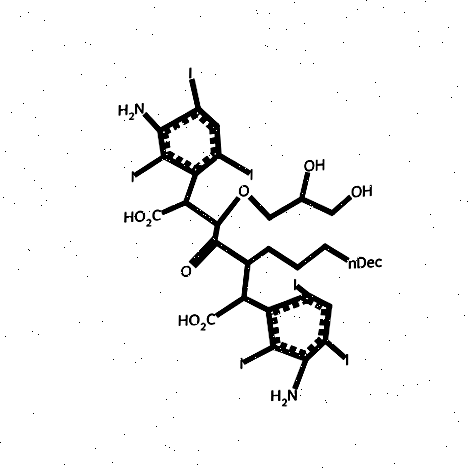 CCCCCCCCCCCCCC(C(=O)C(OCC(O)CO)C(C(=O)O)c1c(I)cc(I)c(N)c1I)C(C(=O)O)c1c(I)cc(I)c(N)c1I